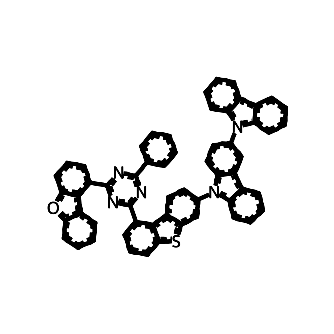 c1ccc(-c2nc(-c3cccc4oc5ccccc5c34)nc(-c3cccc4sc5cc(-n6c7ccccc7c7cc(-n8c9ccccc9c9ccccc98)ccc76)ccc5c34)n2)cc1